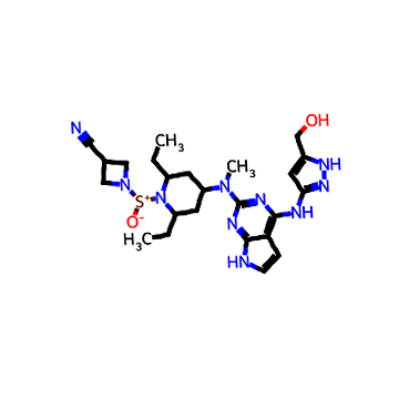 CCC1CC(N(C)c2nc(Nc3cc(CO)[nH]n3)c3cc[nH]c3n2)CC(CC)N1[S+]([O-])N1CC(C#N)C1